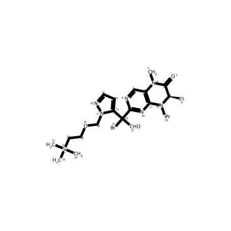 CC[C@@H]1C(=O)N(C)c2cnc(C(Br)(C=O)c3ccnn3COCC[Si](C)(C)C)nc2N1C(C)C